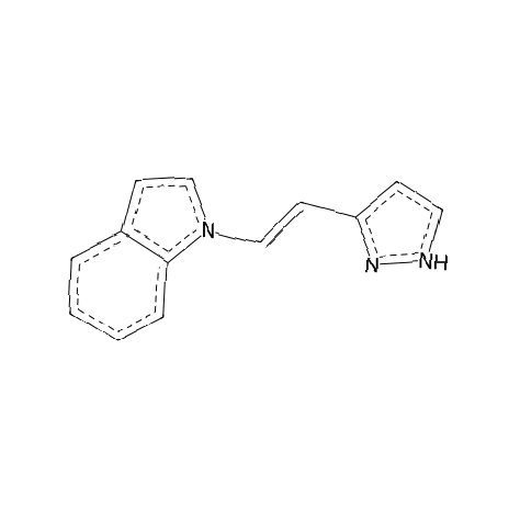 C(=Cn1ccc2ccccc21)c1cc[nH]n1